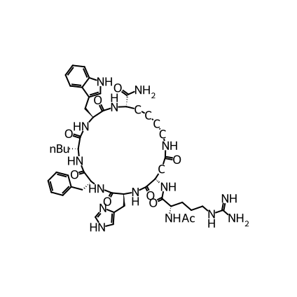 CCCC[C@H]1NC(=O)[C@@H](Cc2ccccc2)NC(=O)[C@H](Cc2c[nH]cn2)NC(=O)[C@@H](NC(=O)[C@H](CCCNC(=N)N)NC(C)=O)CC(=O)NCCCC[C@@H](C(N)=O)NC(=O)[C@H](Cc2c[nH]c3ccccc23)NC1=O